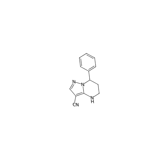 N#Cc1cnn2c1NCCC2c1ccccc1